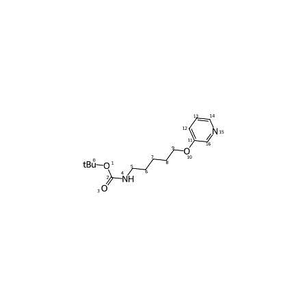 CC(C)(C)OC(=O)NCCCCCOc1cccnc1